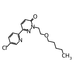 CCCCCOCCn1nc(-c2ccc(Cl)cn2)ccc1=O